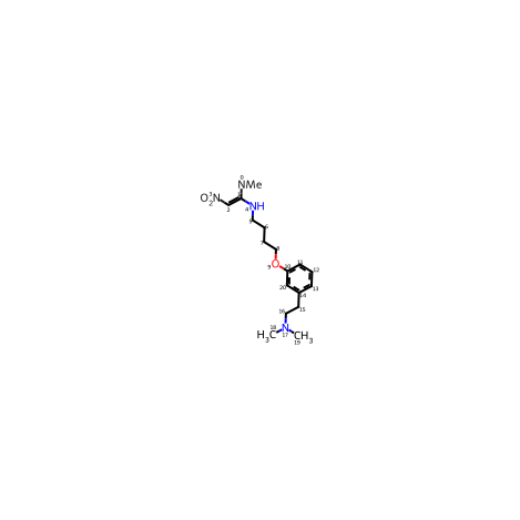 CNC(=C[N+](=O)[O-])NCCCCOc1cccc(CCN(C)C)c1